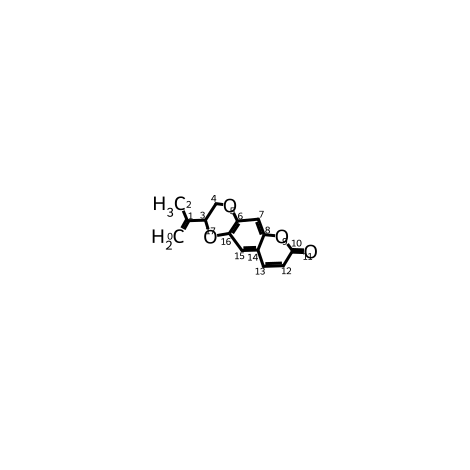 C=C(C)C1COc2cc3oc(=O)ccc3cc2O1